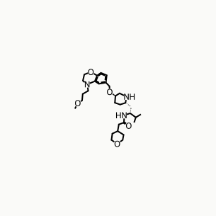 COCCCN1CCOc2ccc(CO[C@@H]3CC[C@@H](C[C@@H](NC(=O)CC4CCOCC4)C(C)C)NC3)cc21